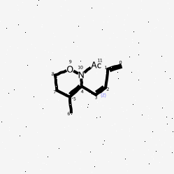 C=C/C=C\C1=C(C)CCON1C(C)=O